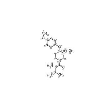 COc1ccc(OC2CCN(C(=O)[C@@H](N)C(C)C)CC2)cn1.Cl.Cl